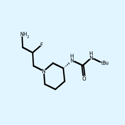 CC(C)(C)NC(=O)N[C@@H]1CCCN(CC(F)CN)C1